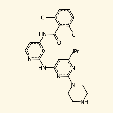 CC(C)c1cc(Nc2cc(NC(=O)c3c(Cl)cccc3Cl)ccn2)nc(N2CCNCC2)n1